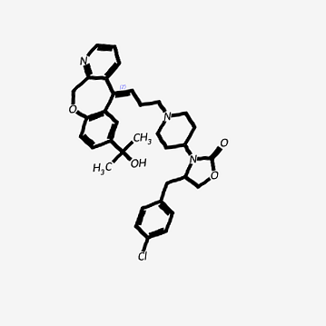 CC(C)(O)c1ccc2c(c1)/C(=C\CCN1CCC(N3C(=O)OCC3Cc3ccc(Cl)cc3)CC1)c1cccnc1CO2